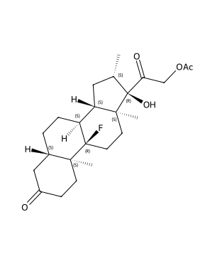 CC(=O)OCC(=O)[C@@]1(O)[C@@H](C)C[C@H]2[C@@H]3CC[C@H]4CC(=O)CC[C@]4(C)[C@@]3(F)CC[C@@]21C